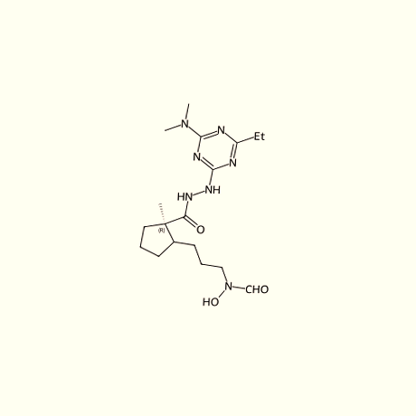 CCc1nc(NNC(=O)[C@]2(C)CCCC2CCCN(O)C=O)nc(N(C)C)n1